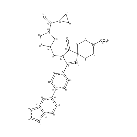 O=C(O)N1CCC2(CC1)N=C(c1ccc(-c3ccc4occc4c3)cc1)N(CC1CCN(C(=O)C3CC3)C1)C2=O